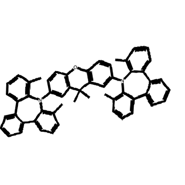 Cc1cccc2c1N(c1ccc3c(c1)C(C)(C)c1cc(N4c5c(C)cccc5-c5ccccc5-c5cccc(C)c54)ccc1O3)c1c(C)cccc1-c1ccccc1-2